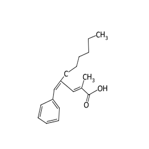 CCCCCCC(=Cc1ccccc1)C=C(C)C(=O)O